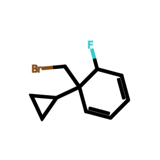 FC1C=CC=CC1(CBr)C1CC1